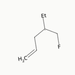 C=CC[C](CC)CF